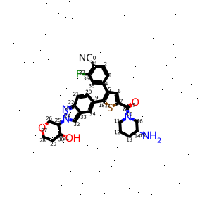 N#Cc1ccc(-c2cc(C(=O)N3CCC[C@@H](N)C3)sc2-c2ccc3nn(C4COCCC4O)cc3c2)cc1F